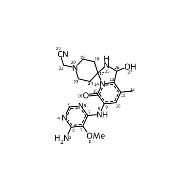 COc1c(N)ncnc1Nc1cc(C)c2n(c1=O)C1(CCN(CC#N)CC1)NC2O